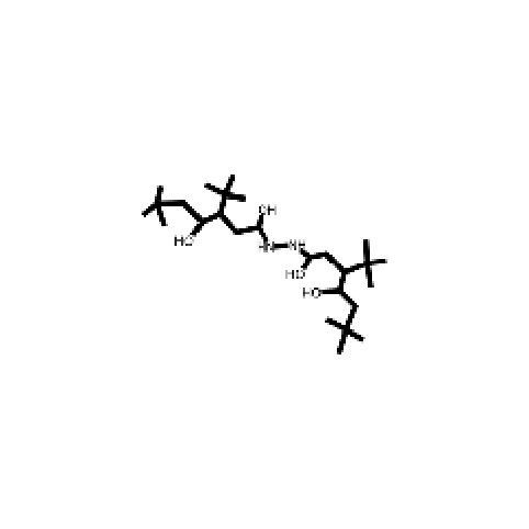 CC(C)(C)CC(O)C(CC(O)NNC(O)CC(C(O)CC(C)(C)C)C(C)(C)C)C(C)(C)C